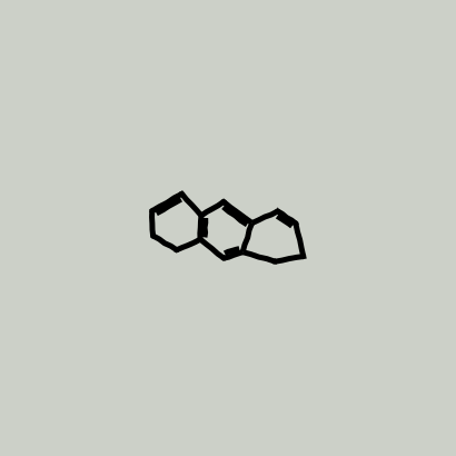 [C]1=CCCc2cc3c(cc21)C=CCC3